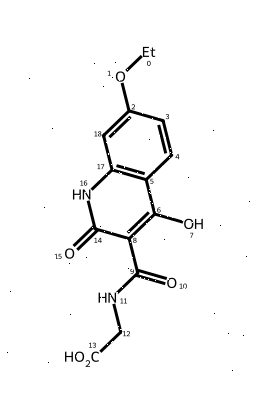 CCOc1ccc2c(O)c(C(=O)NCC(=O)O)c(=O)[nH]c2c1